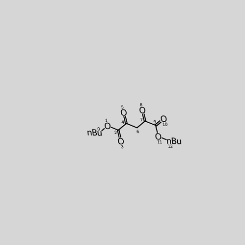 CCCCOC(=O)C(=O)CC(=O)C(=O)OCCCC